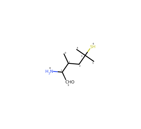 CC(CC(C)(C)S)C(N)C=O